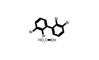 Brc1cccc(-c2cccc(Br)c2Br)c1Br.O=C(O)O